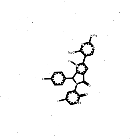 CNc1ncc(-c2cc3c(n2C(C)C)C(c2ccc(Cl)cc2)N(c2cc(Cl)c[nH]c2=O)C3=O)c(OC)n1